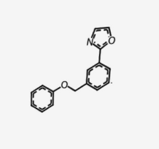 [c]1cc(COc2ccccc2)cc(-c2ncco2)c1